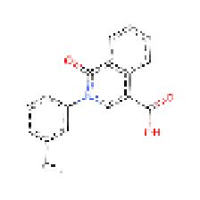 Cc1cccc(-n2cc(C(=O)O)c3ccccc3c2=O)c1